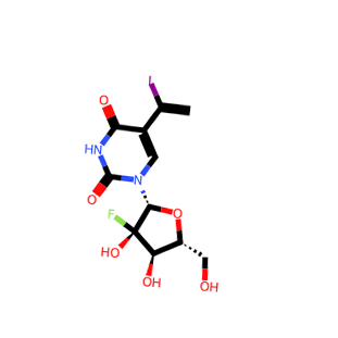 C=C(I)c1cn([C@@H]2O[C@H](CO)[C@@H](O)[C@]2(O)F)c(=O)[nH]c1=O